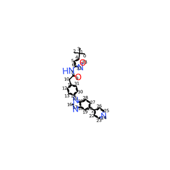 CC(C)(C)c1cc(NC(=O)Cc2ccc(-n3cnc4cc(-c5ccncc5)ccc43)cc2)no1